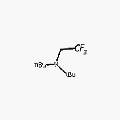 CCCCN(CC(F)(F)F)C(C)CC